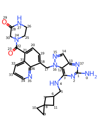 Nc1nc(NCC2CC3(CC3)C2)c2c(cnn2Cc2ccc(C(=O)N3CCNC(=O)C3)c3cccnc23)n1